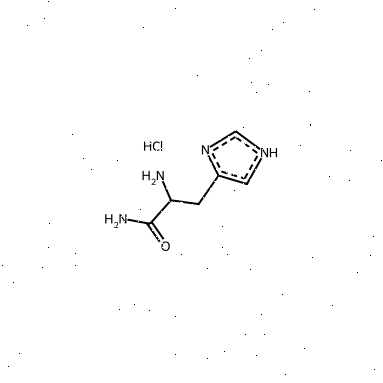 Cl.NC(=O)C(N)Cc1c[nH]cn1